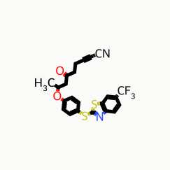 CC(CC(=O)CCC#CC#N)Oc1ccc(Sc2nc3ccc(C(F)(F)F)cc3s2)cc1